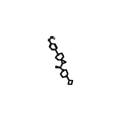 COc1ccc(N2CCC3(CC2)CC3C(=O)N2CCN(C3CCC3)CC2)cc1